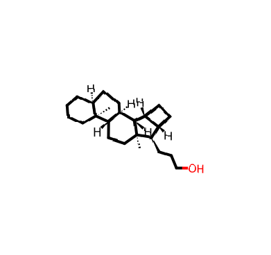 C[C@]12CC[C@H]3[C@@H](CC[C@@H]4CCCC[C@@]43C)[C@@H]1[C@@H]1CC[C@@H]1[C@H]2CCCO